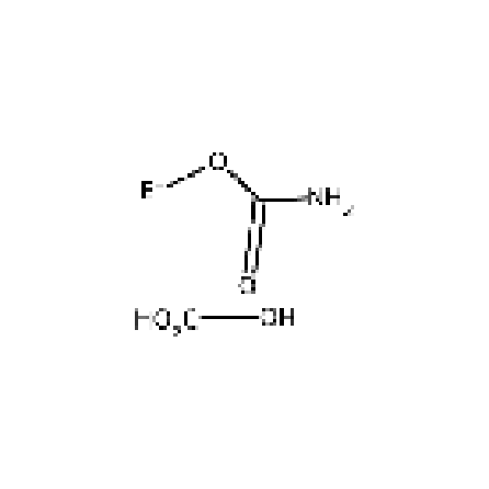 CCOC(N)=O.O=C(O)O